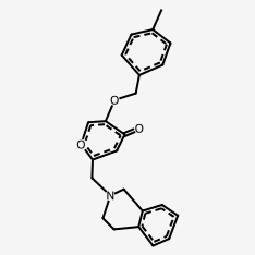 Cc1ccc(COc2coc(CN3CCc4ccccc4C3)cc2=O)cc1